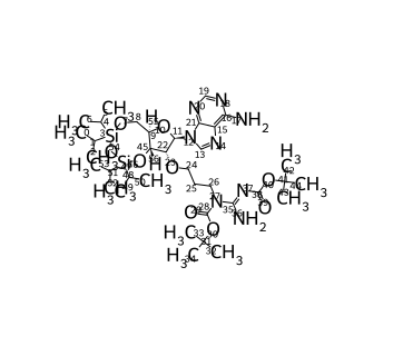 CC(C)[Si]1(C(C)C)OC[C@H]2O[C@@H](n3cnc4c(N)ncnc43)[C@H](OCCCN(C(=O)OC(C)(C)C)C(N)=NC(=O)OC(C)(C)C)[C@@H]2O[Si](C(C)C)(C(C)C)O1